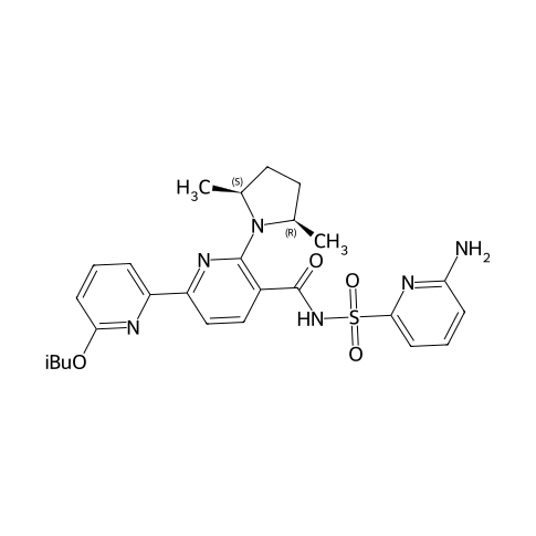 CC(C)COc1cccc(-c2ccc(C(=O)NS(=O)(=O)c3cccc(N)n3)c(N3[C@H](C)CC[C@@H]3C)n2)n1